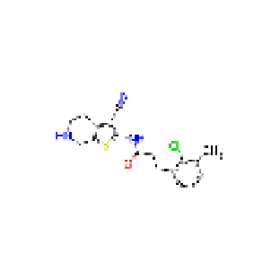 Cc1cccc(CCC(=O)Nc2sc3c(c2C#N)CCNC3)c1Cl